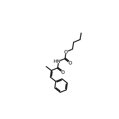 CCCCOC(=O)NC(=O)C(C)=Cc1ccccc1